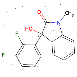 CN1C(=O)C(O)(c2cccc(F)c2F)c2ccccc21